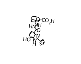 O=C(NNC12CC3CC(C1)CC(C(=O)O)(C3)C2)c1ccc(O)c2[nH]c(-c3cccs3)nc12